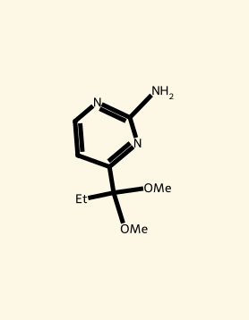 CCC(OC)(OC)c1ccnc(N)n1